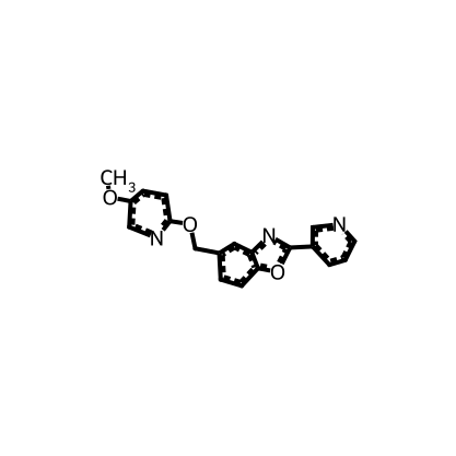 COc1ccc(OCc2ccc3oc(-c4cccnc4)nc3c2)nc1